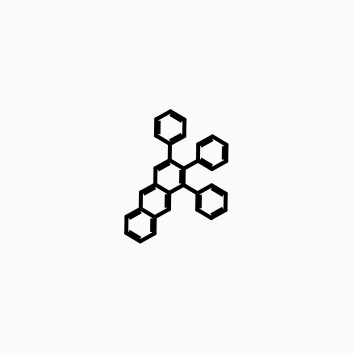 c1ccc(-c2cc3cc4ccccc4cc3c(-c3ccccc3)c2-c2ccccc2)cc1